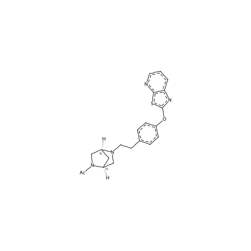 CC(=O)N1C[C@@H]2C[C@H]1CN2CCc1ccc(Oc2nc3cccnc3s2)cc1